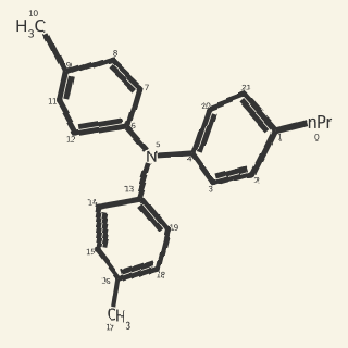 CCCc1ccc(N(c2ccc(C)cc2)c2ccc(C)cc2)cc1